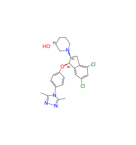 Cc1nnc(C)n1-c1ccc(O[C@@H]2c3cc(Cl)cc(Cl)c3C[C@@H]2N2CCC[C@@H](O)C2)cc1